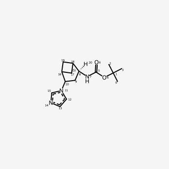 CC(C)(C)OC(=O)N[C@H]1CC(n2ccnc2)C2CC1C2